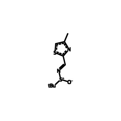 Cc1csc(C=N[S+]([O-])C(C)(C)C)n1